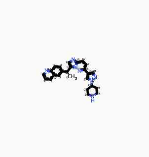 C[C@@H](c1ccc2ncccc2c1)c1cnc2ccc(-c3cnn(C4CCNCC4)c3)nn12